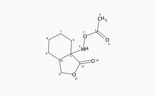 CC(=O)ONC12CCCCC1COC2=O